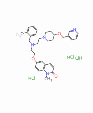 Cc1ccccc1CN(CCOc1ccc2c(ccc(=O)n2C)c1)CCN1CCC(OCc2cccnc2)CC1.Cl.Cl.Cl